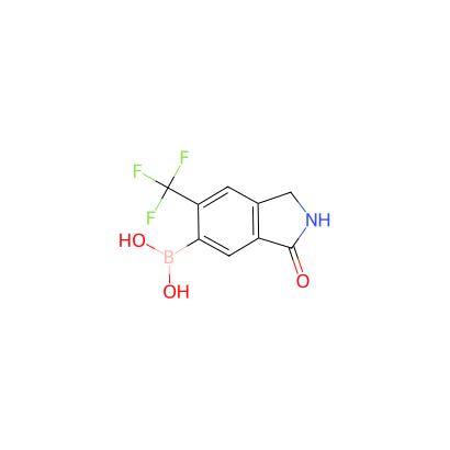 O=C1NCc2cc(C(F)(F)F)c(B(O)O)cc21